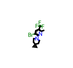 Cc1nc(N2CCC3(CC2)CC3)c(Br)cc1C(F)(F)F